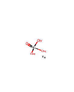 O=[As](O)(O)O.[Fe]